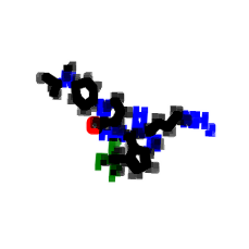 CC(C)N(C)[C@H]1CC[C@@H](N2CCC(NC3NC(CCCN)=NC4=CC=C(C(F)(F)F)C43)C2=O)CC1